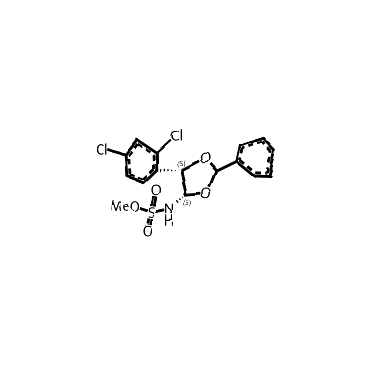 COS(=O)(=O)N[C@H]1OC(c2ccccc2)O[C@H]1c1ccc(Cl)cc1Cl